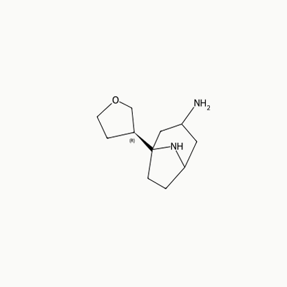 NC1CC2CCC([C@H]3CCOC3)(C1)N2